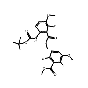 COC(=O)c1c(Br)ccc(OC)c1F.COC(=O)c1c(NC(=O)OC(C)(C)C)ccc(OC)c1F